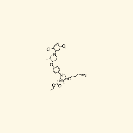 CCOC(=O)C[C@H]1[C@H](C)[C@@H](OCCCC#N)CN1c1ccc(OC2CCN(c3cc(OC)ncc3Cl)CC2C)cc1